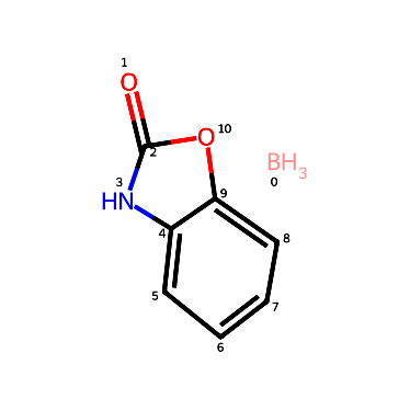 B.O=c1[nH]c2ccccc2o1